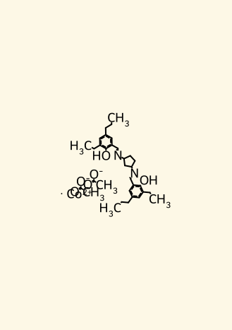 CC(=O)[O-].CC(=O)[O-].CCCc1cc(C=NC2CCC(N=Cc3cc(CCC)cc(CC)c3O)C2)c(O)c(CC)c1.[Co+2]